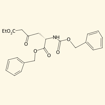 CCOC(=O)CC(=O)C[C@H](NC(=O)OCc1ccccc1)C(=O)OCc1ccccc1